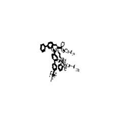 COC(=O)[C@H](Cc1ccc(-c2ccccc2)cc1)N(CCNS(=O)(=O)c1ccccc1S(C)(=O)=O)C(=O)c1ccc(-c2ccc(C(F)(F)F)cc2)cc1